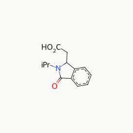 CC(C)N1C(=O)c2ccccc2C1CC(=O)O